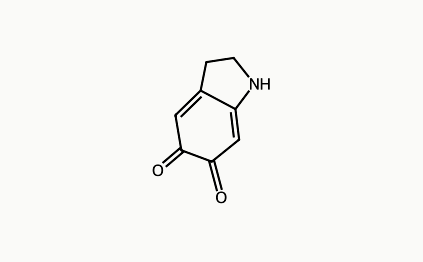 O=C1C=C2CCNC2=CC1=O